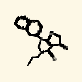 CCCN1CN(c2ccc3ccccc3c2)C2=C(C(=O)CO2)C1=O